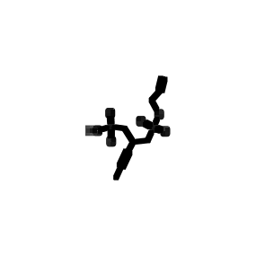 C#CCOS(=O)(=O)CC(C#CC)CS(=O)(=O)O